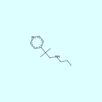 CCCNCC(C)(C)c1ccncc1